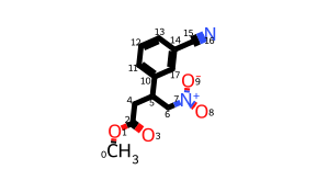 COC(=O)CC(C[N+](=O)[O-])c1cccc(C#N)c1